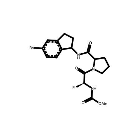 COC(=O)N[C@H](C(=O)N1CCCC1C(=O)NC1CCc2cc(Br)ccc21)C(C)C